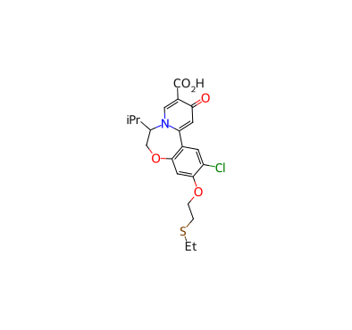 CCSCCOc1cc2c(cc1Cl)-c1cc(=O)c(C(=O)O)cn1C(C(C)C)CO2